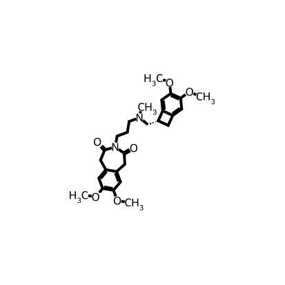 COc1cc2c(cc1OC)CC(=O)N(CCCN(C)C[C@H]1Cc3cc(OC)c(OC)cc31)C(=O)C2